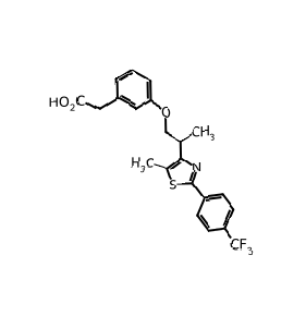 Cc1sc(-c2ccc(C(F)(F)F)cc2)nc1C(C)COc1cccc(CC(=O)O)c1